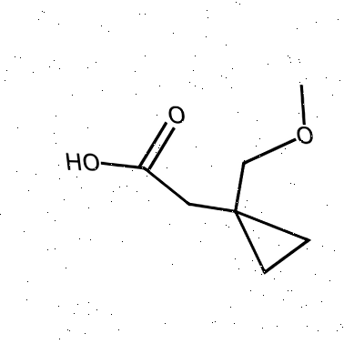 COCC1(CC(=O)O)CC1